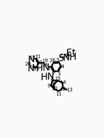 CCNSc1ccc(NC2C=C3CC(C)CC2C3)c(NCc2cncnc2)c1